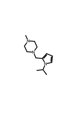 CC(C)n1cccc1CN1CCN(C)CC1